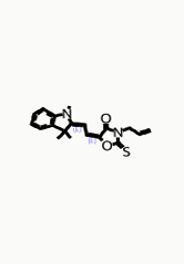 C=CCN1C(=O)/C(=C\C=C2\N(C)c3ccccc3C2(C)C)OC1=S